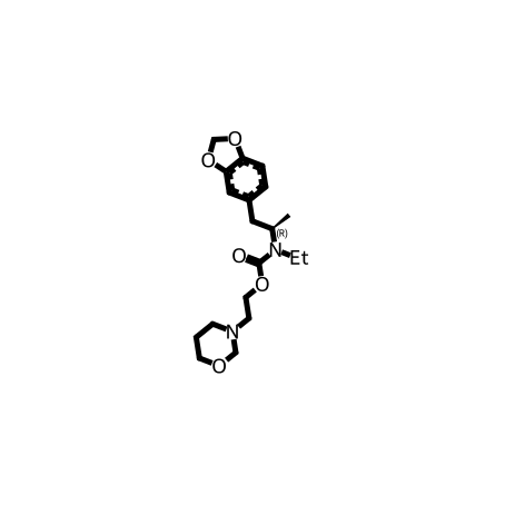 CCN(C(=O)OCCN1CCCOC1)[C@H](C)Cc1ccc2c(c1)OCO2